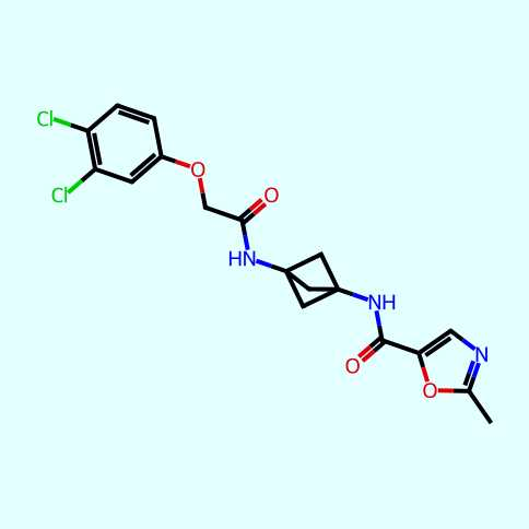 Cc1ncc(C(=O)NC23CC(NC(=O)COc4ccc(Cl)c(Cl)c4)(C2)C3)o1